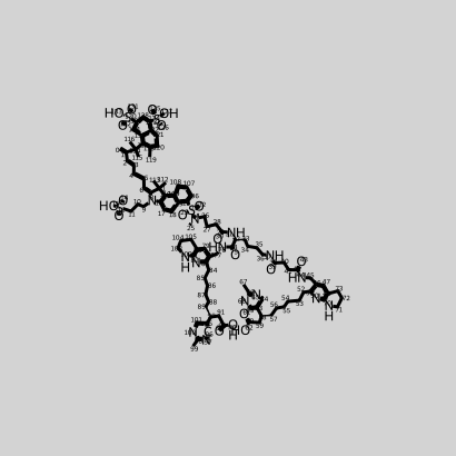 C=C(/C=C/C=C/C=C1/N(CCCS(=O)(=O)O)c2ccc3c(S(=O)(=O)N(C)CCCC(=O)N[C@@H](CCCCNC(=O)CCC(=O)NCc4cc5c(nc4CCCCCC[C@@H](CC(=O)O)c4cnc(C)nc4)NCCC5)C(=O)NCc4cc5c(nc4CCCCCC[C@@H](CC(=O)O)c4cnc(C)nc4)NCCC5)cccc3c2C1(C)C)C(C)(C)c1c(C)ccc2c(S(=O)(=O)O)cc(S(=O)(=O)O)cc12